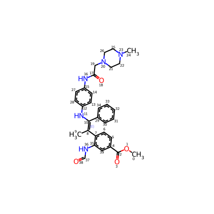 COC(=O)c1ccc(/C(C)=C(/Nc2ccc(NC(=O)CN3CCN(C)CC3)cc2)c2ccccc2)c(NC=O)c1